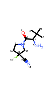 CC(C)(C)[C@@H](N)C(=O)N1CCC(F)(C#N)C1